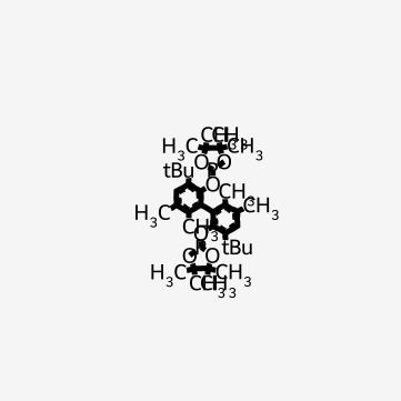 Cc1cc(C(C)(C)C)c(OP2OC(C)(C)C(C)(C)O2)c(-c2c(C)c(C)cc(C(C)(C)C)c2OP2OC(C)(C)C(C)(C)O2)c1C